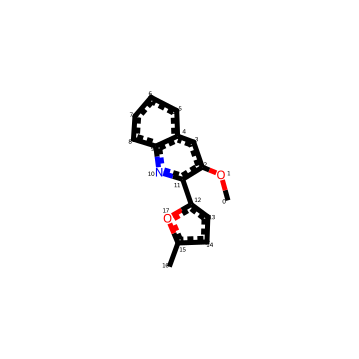 COc1cc2ccccc2nc1-c1ccc(C)o1